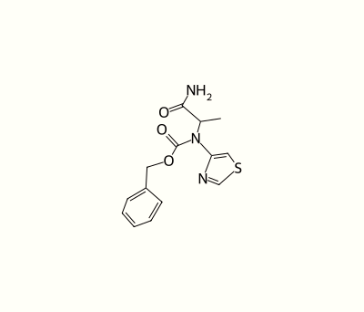 CC(C(N)=O)N(C(=O)OCc1ccccc1)c1cscn1